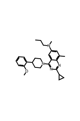 CCCN(C)c1cc(C)c2nc(C3CC3)nc(N3CCC(c4ccccc4OC)CC3)c2c1